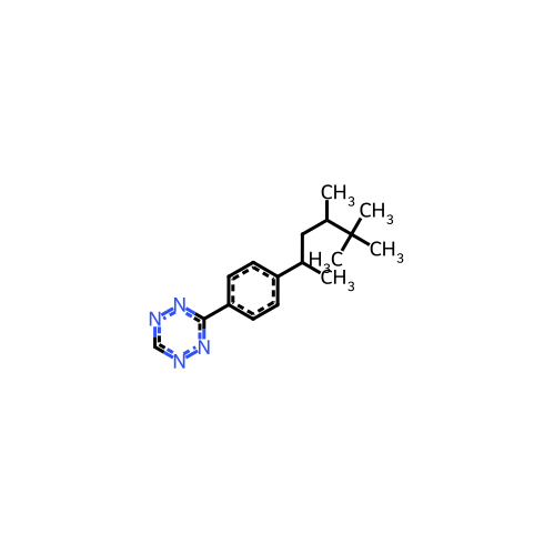 CC(CC(C)C(C)(C)C)c1ccc(-c2nncnn2)cc1